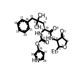 CCC1OCC(=O)C1NC(=O)[C@H](CC(C)(C)Cc1ccccc1)NC(=O)Oc1cc[nH]c1